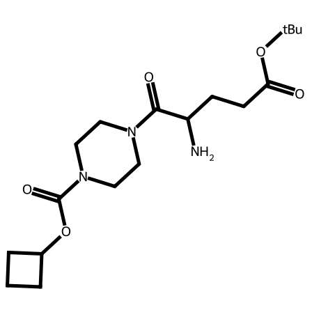 CC(C)(C)OC(=O)CCC(N)C(=O)N1CCN(C(=O)OC2CCC2)CC1